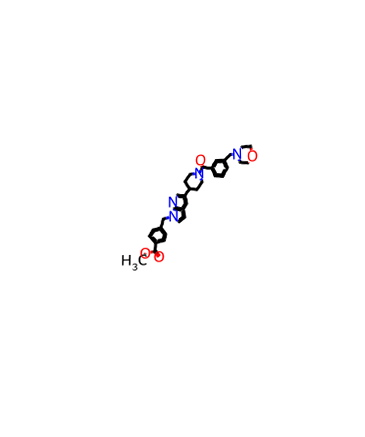 COC(=O)c1ccc(Cn2ccc3cc(C4CCN(C(=O)c5cccc(CN6CCOCC6)c5)CC4)cnc32)cc1